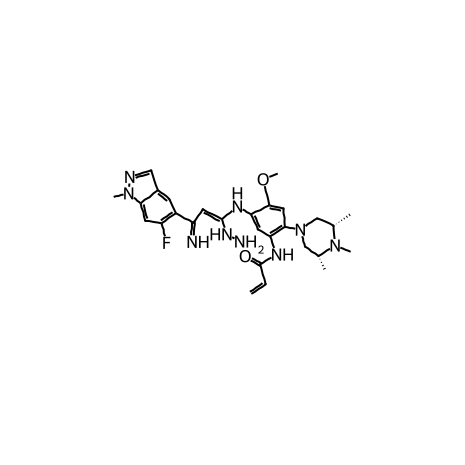 C=CC(=O)Nc1cc(N/C(=C/C(=N)c2cc3cnn(C)c3cc2F)NN)c(OC)cc1N1C[C@@H](C)N(C)[C@@H](C)C1